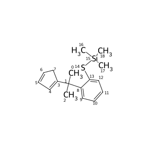 CC(C)(C1=CC=CC1)c1ccccc1S[Si](C)(C)C